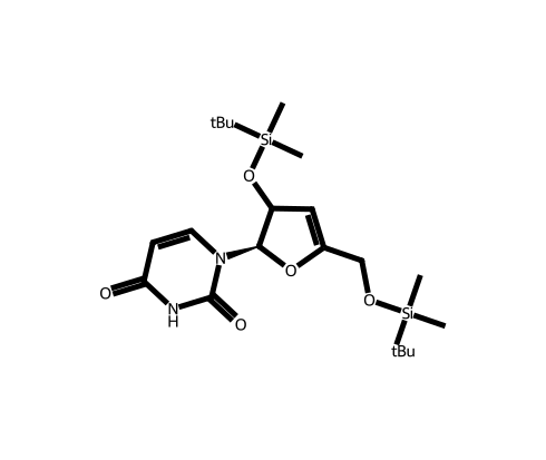 CC(C)(C)[Si](C)(C)OCC1=CC(O[Si](C)(C)C(C)(C)C)[C@H](n2ccc(=O)[nH]c2=O)O1